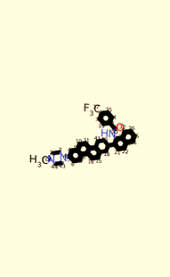 CN1CCN(c2ccc3c(ccc4c5c(ccc43)CC(c3ccc4ccccc4c3NC(=O)c3ccc(C(F)(F)F)cc3)CC5)c2)CC1